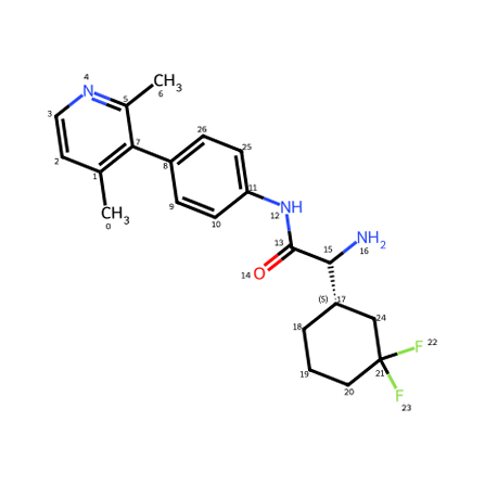 Cc1ccnc(C)c1-c1ccc(NC(=O)C(N)[C@H]2CCCC(F)(F)C2)cc1